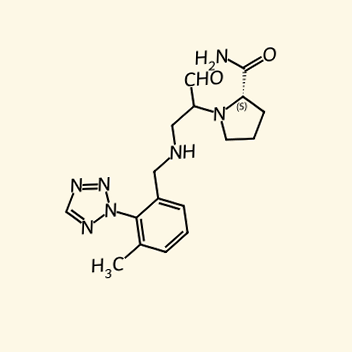 Cc1cccc(CNCC(C=O)N2CCC[C@H]2C(N)=O)c1-n1ncnn1